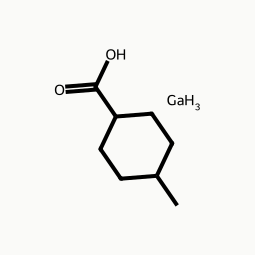 CC1CCC(C(=O)O)CC1.[GaH3]